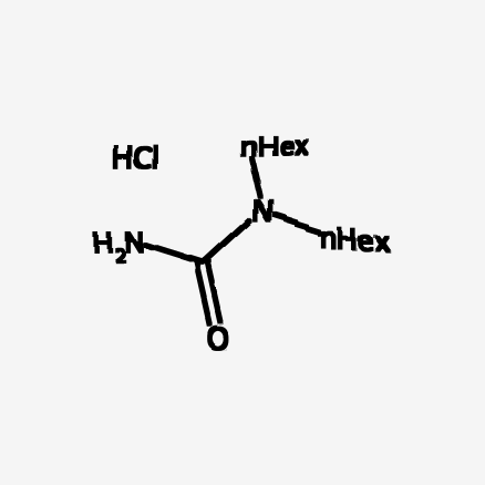 CCCCCCN(CCCCCC)C(N)=O.Cl